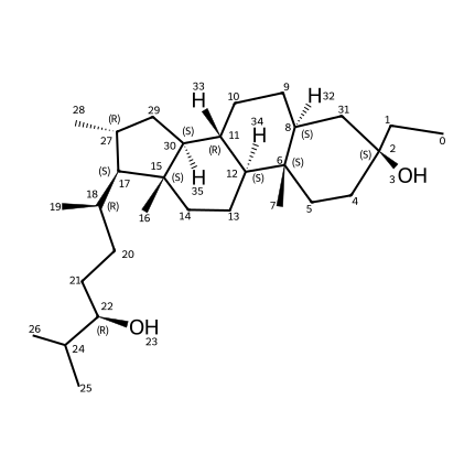 CC[C@]1(O)CC[C@@]2(C)[C@@H](CC[C@@H]3[C@@H]2CC[C@]2(C)[C@@H]([C@H](C)CC[C@@H](O)C(C)C)[C@H](C)C[C@@H]32)C1